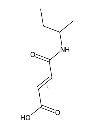 CCC(C)NC(=O)/C=C/C(=O)O